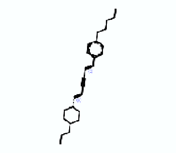 CCCCCc1ccc(/C=C/C#C/C=C/[C@H]2CC[C@H](CCC)CC2)cc1